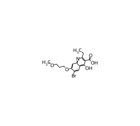 CCc1nc2cc(OCCCOC)c(Br)cc2c(O)c1C(=O)O